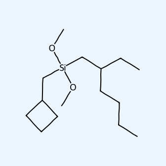 CCCCC(CC)C[Si](CC1CCC1)(OC)OC